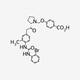 Cc1cc(CC(=O)[C@@H]2CCCN2COc2ccc(C(=O)O)cc2)ccc1NC(=O)Nc1ccccc1Br